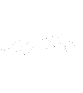 C#Cc1ccc2nc(N3CCC4(CC3)NC(=O)N(c3cccnc3)C4=O)ncc2c1